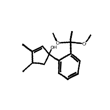 COC(C)(OC)c1ccccc1C1(O)C=C(C)C(C)C1